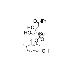 CC[C@H](C)C(=O)O[C@H]1C[C@H](O)C=C2C=C[C@H](C)[C@H](CC[C@@H](O)C[C@@H](O)CC(=O)C(C)C)[C@H]21